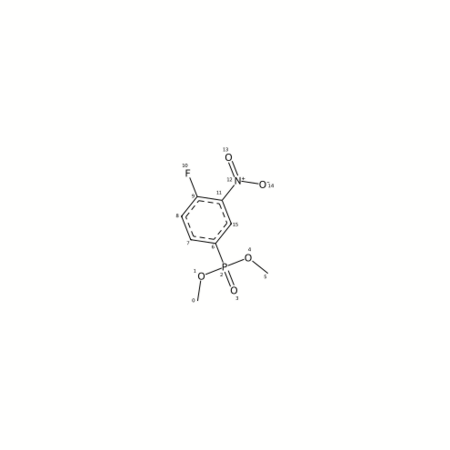 COP(=O)(OC)c1ccc(F)c([N+](=O)[O-])c1